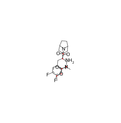 CCOC(=O)N(C)CCS(=O)(=O)N1C2CCC1CC([C@H](N)Cc1cc(F)c(F)cc1F)C2